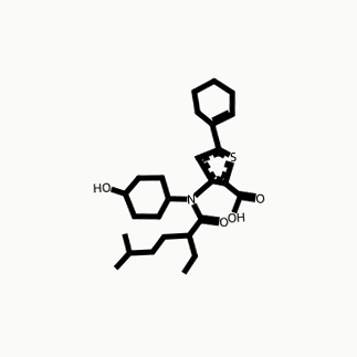 CCC(CCC(C)C)C(=O)N(c1cc(C2=CCCCC2)sc1C(=O)O)C1CCC(O)CC1